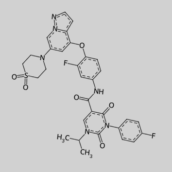 CC(C)n1cc(C(=O)Nc2ccc(Oc3cc(N4CCS(=O)(=O)CC4)cn4nccc34)c(F)c2)c(=O)n(-c2ccc(F)cc2)c1=O